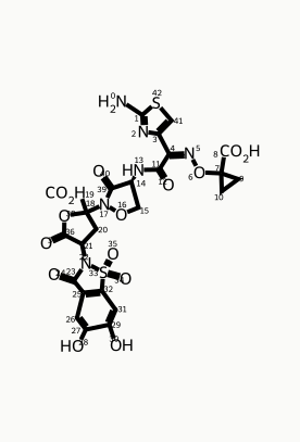 Nc1nc(/C(=N/OC2(C(=O)O)CC2)C(=O)N[C@H]2CON(C3(C(=O)O)CC(N4C(=O)c5cc(O)c(O)cc5S4(=O)=O)C(=O)O3)C2=O)cs1